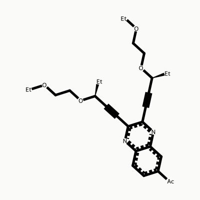 CCOCCO[C@H](C#Cc1nc2ccc(C(C)=O)cc2nc1C#C[C@H](CC)OCCOCC)CC